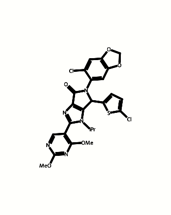 COc1ncc(-c2nc3c(n2C(C)C)C(c2ccc(Cl)s2)N(c2cc4c(cc2Cl)OCO4)C3=O)c(OC)n1